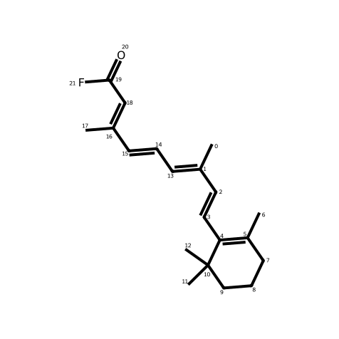 CC(C=CC1=C(C)CCCC1(C)C)=CC=CC(C)=CC(=O)F